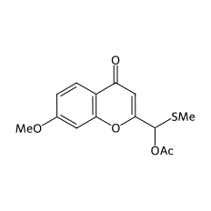 COc1ccc2c(=O)cc(C(OC(C)=O)SC)oc2c1